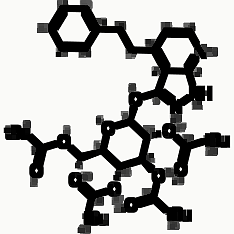 CC(C)(C)C(=O)OC[C@H]1O[C@@H](Oc2n[nH]c3nccc(CCc4ccccc4)c23)[C@H](OC(=O)C(C)(C)C)[C@@H](OC(=O)C(C)(C)C)[C@@H]1OC(=O)C(C)(C)C